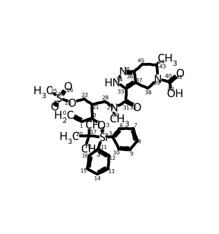 C=CC(O[Si](c1ccccc1)(c1ccccc1)C(C)(C)C)C(COS(C)(=O)=O)CN(C)C(=O)c1[nH]nc2c1CN(C(=O)O)[C@H](C)C2